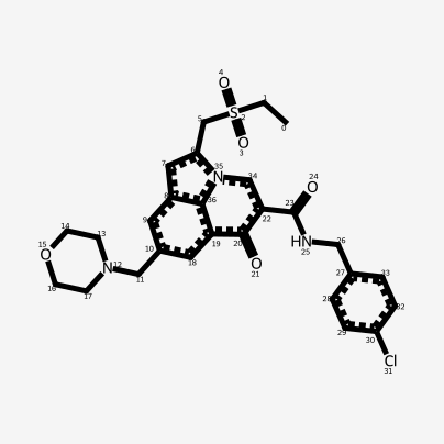 CCS(=O)(=O)Cc1cc2cc(CN3CCOCC3)cc3c(=O)c(C(=O)NCc4ccc(Cl)cc4)cn1c23